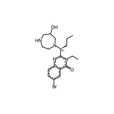 CCC[C@@H](c1nc2ccc(Br)cc2c(=O)n1CC)N1CCNCC(O)C1